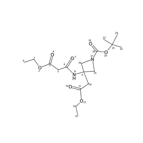 CCOC(=O)CC(=O)NC1(CC(=O)OCC)CN(C(=O)OC(C)(C)C)C1